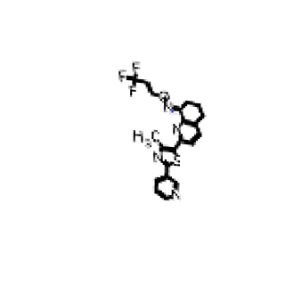 Cc1nc(-c2cccnc2)sc1-c1ccc2c(n1)/C(=N/OCCC(F)(F)F)CCC2